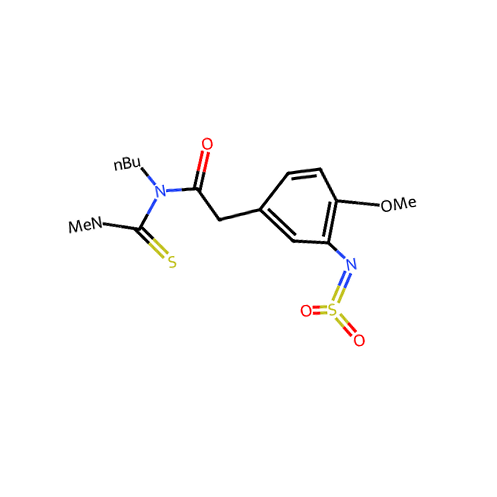 CCCCN(C(=O)Cc1ccc(OC)c(N=S(=O)=O)c1)C(=S)NC